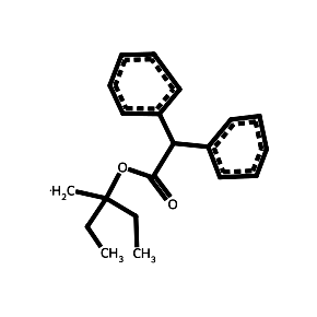 [CH2]C(CC)(CC)OC(=O)C(c1ccccc1)c1ccccc1